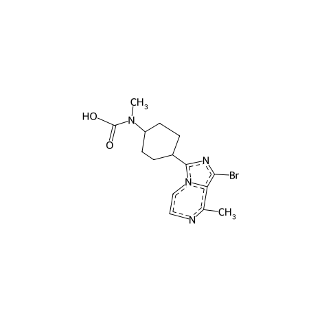 Cc1nccn2c(C3CCC(N(C)C(=O)O)CC3)nc(Br)c12